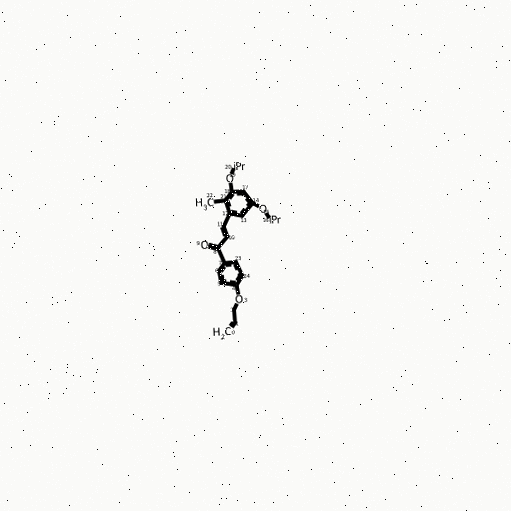 C=CCOc1ccc(C(=O)/C=C/c2cc(OC(C)C)cc(OC(C)C)c2C)cc1